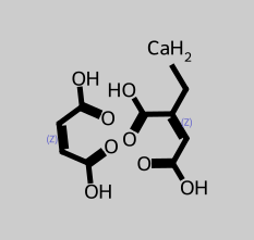 CC/C(=C/C(=O)O)C(=O)O.O=C(O)/C=C\C(=O)O.[CaH2]